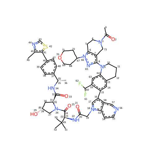 CC(=O)N1CCc2c(c(N3CCCc4cc(-c5cn(CC(=O)N[C@H](C(=O)N6C[C@H](O)C[C@H]6C(=O)N[C@@H](C)c6ccc(-c7scnc7C)cc6)C(C)(C)C)c6ccncc56)c(C(F)F)cc43)nn2C2CCOCC2)C1